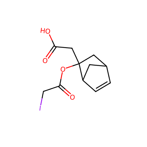 O=C(O)CC1(OC(=O)CI)CC2C=CC1C2